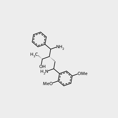 COc1ccc(OC)c(C(N)C[C@@H](C(N)c2ccccc2)[C@@H](C)O)c1